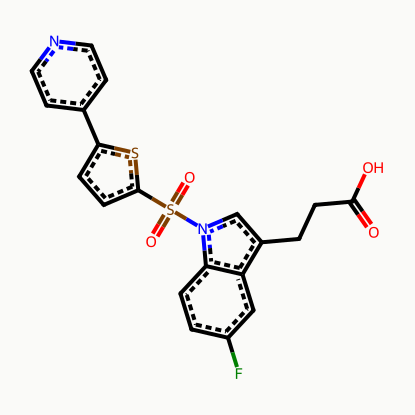 O=C(O)CCc1cn(S(=O)(=O)c2ccc(-c3ccncc3)s2)c2ccc(F)cc12